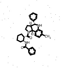 Cc1ccc2c(c1)N[C@@H](c1ccccc1)[C@H]1CCN(C(=O)[C@H]3CCCC[C@H]3NC(=O)c3ccccc3)[C@@H]21